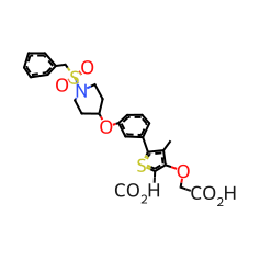 Cc1c(-c2cccc(OC3CCN(S(=O)(=O)Cc4ccccc4)CC3)c2)sc(C(=O)O)c1OCC(=O)O